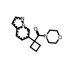 O=C(N1CCOCC1)C1(c2ccc3ccnn3c2)CCC1